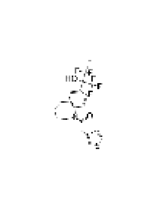 O=C(Cc1ccsc1)N1CCCCc2cc(C(O)(C(F)(F)F)C(F)(F)F)ccc21